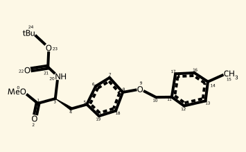 COC(=O)[C@H](Cc1ccc(OCc2ccc(C)cc2)cc1)NC(=O)OC(C)(C)C